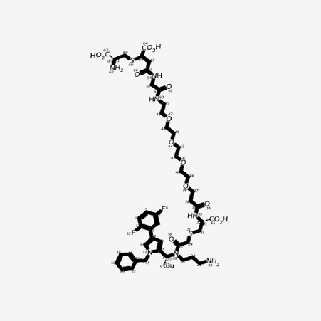 CC(C)(C)[C@H](c1cc(-c2cc(F)ccc2F)cn1Cc1ccccc1)N(CCCN)C(=O)CSC[C@H](NC(=O)CCOCCOCCOCCOCCNC(=O)CNC(=O)CC(SC[C@H](N)C(=O)O)C(=O)O)C(=O)O